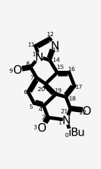 CCC(C)N1C(=O)c2ccc3c(=O)n4ccnc4c4ccc(c2c34)C1=O